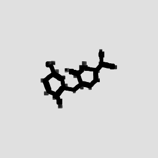 O=C(Cl)c1ccc(Cc2cc(Cl)ccc2Cl)c(=O)[nH]1